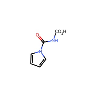 O=C(O)NC(=O)n1cccc1